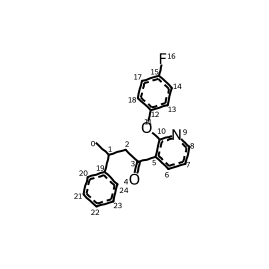 CC(CC(=O)c1cccnc1Oc1ccc(F)cc1)c1ccccc1